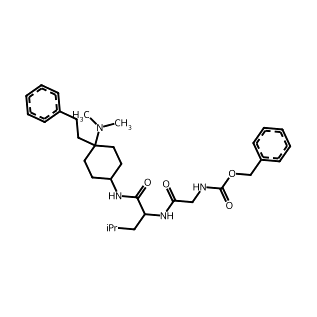 CC(C)CC(NC(=O)CNC(=O)OCc1ccccc1)C(=O)NC1CCC(CCc2ccccc2)(N(C)C)CC1